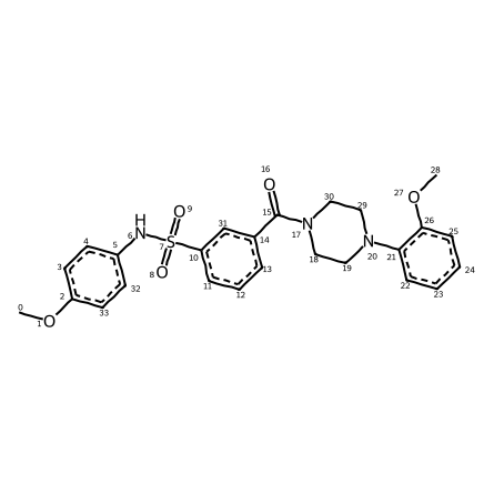 COc1ccc(NS(=O)(=O)c2cccc(C(=O)N3CCN(c4ccccc4OC)CC3)c2)cc1